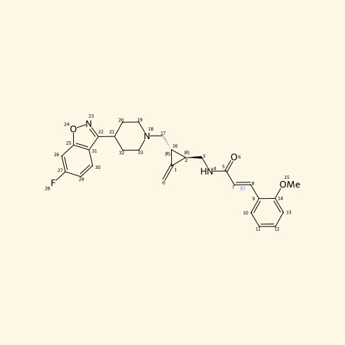 C=C1[C@H](CNC(=O)/C=C/c2ccccc2OC)[C@H]1CN1CCC(c2noc3cc(F)ccc23)CC1